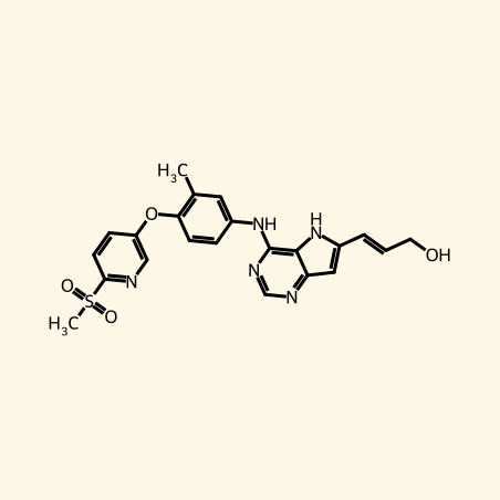 Cc1cc(Nc2ncnc3cc(/C=C/CO)[nH]c23)ccc1Oc1ccc(S(C)(=O)=O)nc1